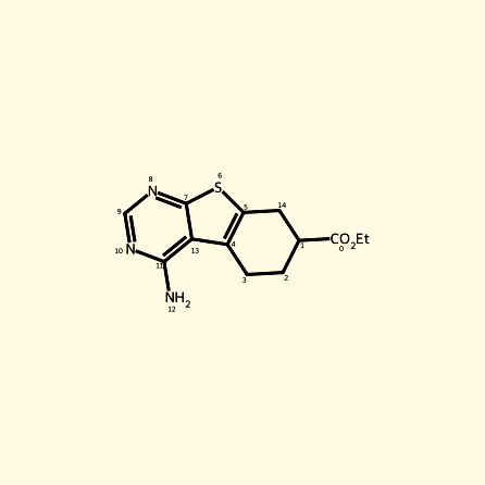 CCOC(=O)C1CCc2c(sc3ncnc(N)c23)C1